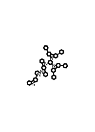 c1ccc(-c2ccc3c(c2)c2cc(-c4ccccc4)ccc2n3-c2cc(-n3c4ccc(-c5ccccc5)cc4c4cc(-c5ccccc5)ccc43)cc(-n3c4ccccc4c4cc5c(cc43)c3ccccc3n5-c3cccc(-c4ccc5sc6ccccc6c5c4)n3)c2)cc1